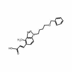 Cc1c(C=CC(=O)O)ccc2c1nnn2CCCCOCc1ccccc1